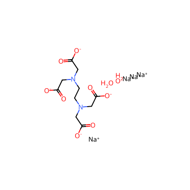 O.O.O=C([O-])CN(CCN(CC(=O)[O-])CC(=O)[O-])CC(=O)[O-].[Na+].[Na+].[Na+].[Na+]